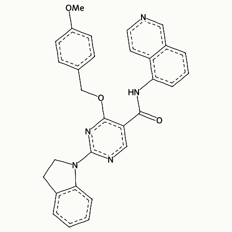 COc1ccc(COc2nc(N3CCc4ccccc43)ncc2C(=O)Nc2cccc3cnccc23)cc1